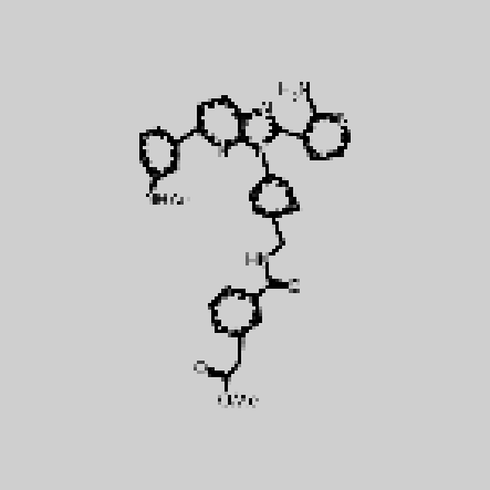 COC(=O)Cc1cccc(C(=O)NCc2ccc(-n3c(-c4cccnc4N)nc4ccc(-c5cccc(NC(C)=O)c5)nc43)cc2)c1